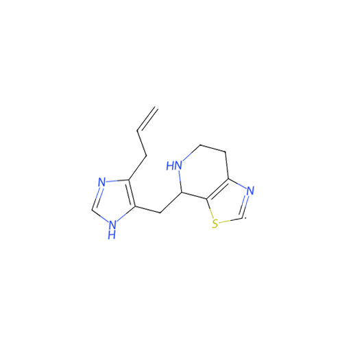 C=CCc1nc[nH]c1CC1NCCc2n[c]sc21